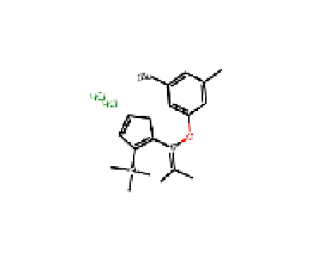 C[C](C)=[Ti]([O]c1cc(C)cc(C(C)(C)C)c1)[C]1=C([Si](C)(C)C)C=CC1.Cl.Cl